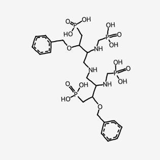 O=P(O)(O)CNC(CNCC(NCP(=O)(O)O)C(CP(=O)(O)O)OCc1ccccc1)C(CP(=O)(O)O)OCc1ccccc1